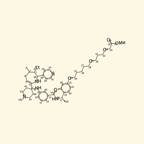 CCC1C(C)CC=C(C2(Nc3cccc(C(=O)N[C@H](C)c4ccc(OCCCCCOCCCOCC(=O)OC)cc4)c3)CCN(C)CC2)NC1c1ccncc1